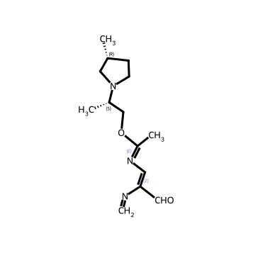 C=N/C(C=O)=C\N=C(/C)OC[C@H](C)N1CC[C@@H](C)C1